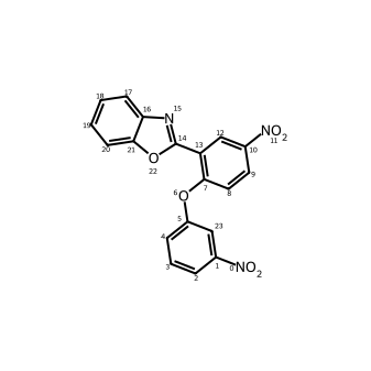 O=[N+]([O-])c1cccc(Oc2ccc([N+](=O)[O-])cc2-c2nc3ccccc3o2)c1